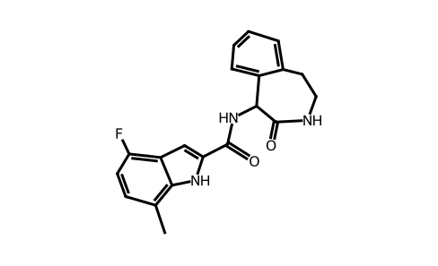 Cc1ccc(F)c2cc(C(=O)NC3C(=O)NCCc4ccccc43)[nH]c12